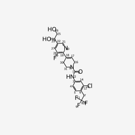 O=C(Nc1ccc(CC(F)(F)F)c(Cl)c1)N1CC=C(c2ncc([C@H](O)CO)cc2F)CC1